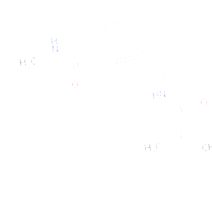 CNC(=O)c1cccc(CNC(=O)C(C)C)c1